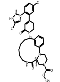 CC(C)(C)OC(=O)N1CCN2c3cccc(c3)[C@@H](N3CCC(c4cc(Cl)ccc4N4C=C(Cl)NN4)=CC3=O)CCCCCNC(=O)[C@H]2C1